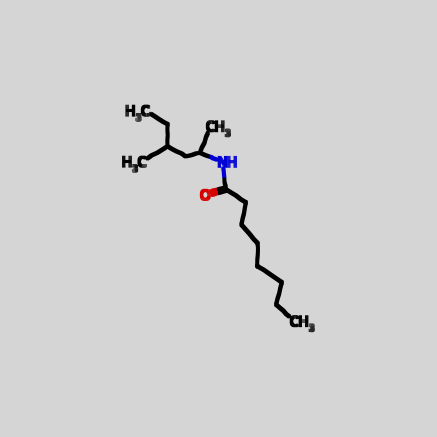 CCCCCCCC(=O)NC(C)CC(C)CC